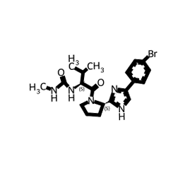 CNC(=O)N[C@H](C(=O)N1CCC[C@H]1c1nc(-c2ccc(Br)cc2)c[nH]1)C(C)C